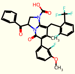 COc1cccc(-c2c(C)c(Cc3c(F)cccc3C(F)(F)F)c3n(c2=O)C(C(=O)c2ccccc2)CN3C(=O)O)c1F